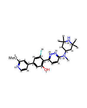 COc1cc(-c2cc(O)c(-c3ccc(N(C)C4CC(C)(C)NC(C)(C)C4)nn3)c(F)c2)ccn1